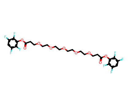 O=C(CCOCCOCCOCCOCCOCCC(=O)Oc1c(F)c(F)cc(F)c1F)Oc1c(F)c(F)cc(F)c1F